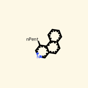 CCCCCc1cncc2ccc3ccccc3c12